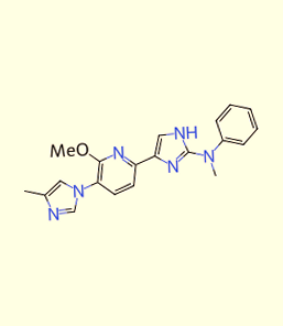 COc1nc(-c2c[nH]c(N(C)c3ccccc3)n2)ccc1-n1cnc(C)c1